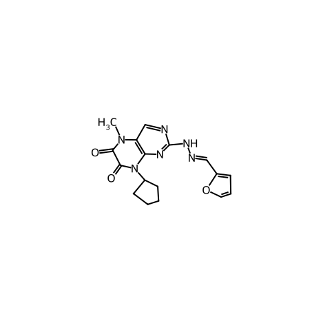 Cn1c(=O)c(=O)n(C2CCCC2)c2nc(NN=Cc3ccco3)ncc21